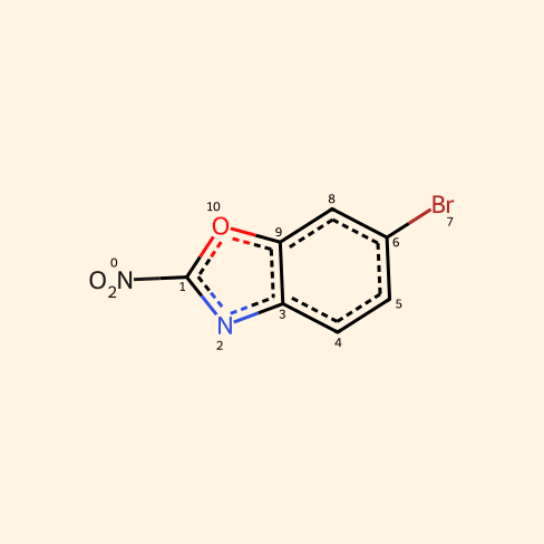 O=[N+]([O-])c1nc2ccc(Br)cc2o1